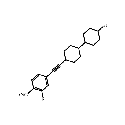 CCCCCc1ccc(C#CC2CCC(C3CCC(CC)CC3)CC2)cc1F